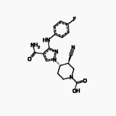 N#C[C@H]1CN(C(=O)O)CC[C@@H]1n1cc(C(N)=O)c(Nc2ccc(F)cc2)n1